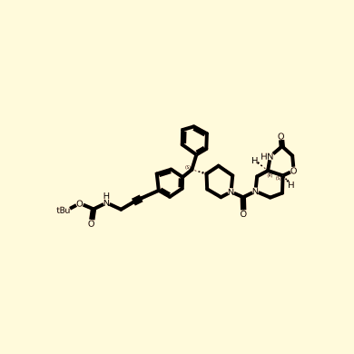 CC(C)(C)OC(=O)NCC#Cc1ccc([C@H](c2ccccc2)C2CCN(C(=O)N3CC[C@@H]4OCC(=O)N[C@@H]4C3)CC2)cc1